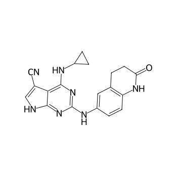 N#Cc1c[nH]c2nc(Nc3ccc4c(c3)CCC(=O)N4)nc(NC3CC3)c12